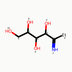 CCC(=N)C(O)C(O)C(O)CO